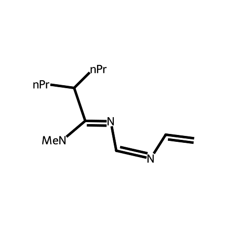 C=C/N=C\N=C(/NC)C(CCC)CCC